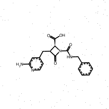 Nc1cc(CC2C(=O)N(C(=O)NCc3ccccc3)[C@@H]2C(=O)O)ccn1